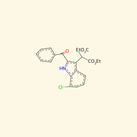 CCOC(=O)C(C(=O)OCC)c1c(C(=O)c2ccccc2)[nH]c2c(Cl)cccc12